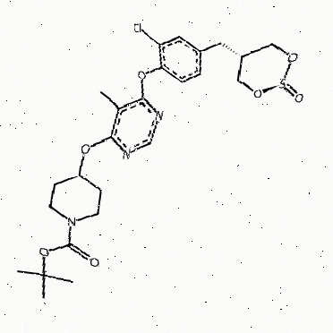 Cc1c(Oc2ccc(C[C@H]3CO[S@](=O)OC3)cc2Cl)ncnc1OC1CCN(C(=O)OC(C)(C)C)CC1